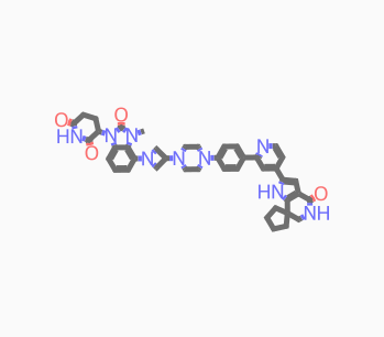 Cn1c(=O)n(C2CCC(=O)NC2=O)c2cccc(N3CC(N4CCN(c5ccc(-c6cc(-c7cc8c([nH]7)C7(CCCC7)CNC8=O)ccn6)cc5)CC4)C3)c21